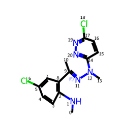 CNc1ccc(Cl)cc1/C(C)=N/N(C)c1ccc(Cl)nn1